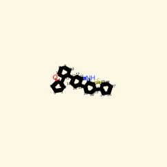 c1ccc2c(c1)oc1cccc(-c3ccc4c(c3)[nH]c3c4ccc4c5ccccc5sc43)c12